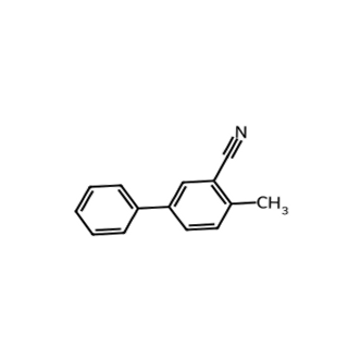 Cc1ccc(-c2ccccc2)cc1C#N